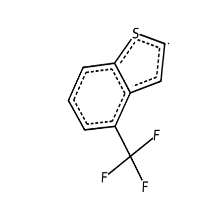 FC(F)(F)c1cccc2s[c]cc12